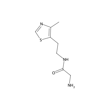 Cc1ncsc1CCNC(=O)CN